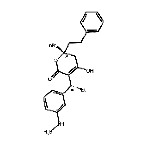 BNc1cccc([C@@H](CC)C2=C(O)C[C@@](CCC)(CCc3ccccc3)OC2=O)c1